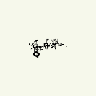 CCOC(=O)[C@H](C)NP(=O)(CO[C@@H]1C=C(F)[C@@H](n2cnc3c(N)ncnc32)O1)Oc1ccccc1